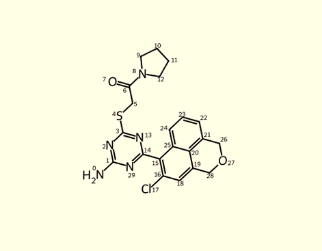 Nc1nc(SCC(=O)N2CCCC2)nc(-c2c(Cl)cc3c4c(cccc24)COC3)n1